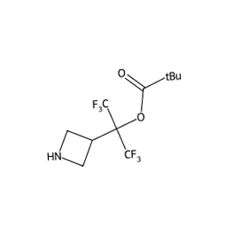 CC(C)(C)C(=O)OC(C1CNC1)(C(F)(F)F)C(F)(F)F